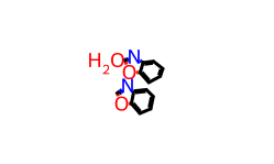 O.c1ccc2ocnc2c1.c1ccc2ocnc2c1